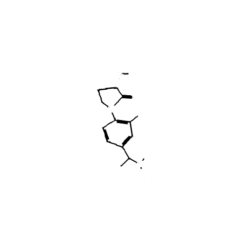 CCC(c1ccc(N2CC[C@H](NC(=O)O)C2=O)c(F)c1)N(C)C